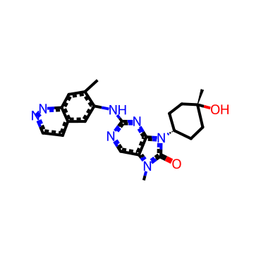 Cc1cc2nnccc2cc1Nc1ncc2c(n1)n([C@H]1CC[C@@](C)(O)CC1)c(=O)n2C